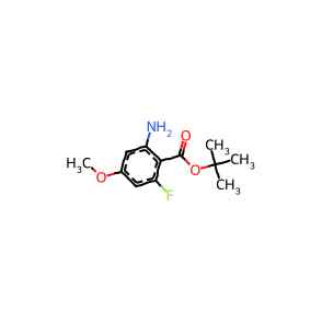 COc1cc(N)c(C(=O)OC(C)(C)C)c(F)c1